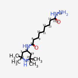 CC1(C)CC(NC(=O)CCCCCCCC(=O)NN)CC(C)(C)N1